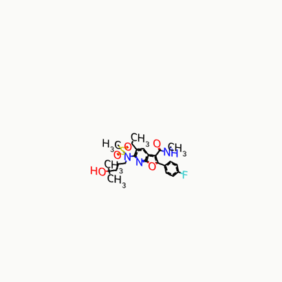 CCc1cc2c(C(=O)NC)c(-c3ccc(F)cc3)oc2nc1N(CCCC(C)(C)O)S(C)(=O)=O